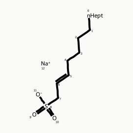 CCCCCCCCCCCC=CCS(=O)(=O)[O-].[Na+]